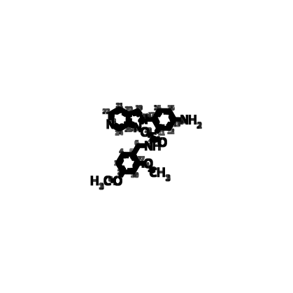 COc1ccc(CNS(=O)(=O)c2cc(N)ccc2-n2cc3ccncc3n2)c(OC)c1